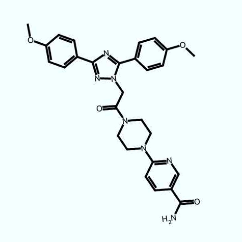 COc1ccc(-c2nc(-c3ccc(OC)cc3)n(CC(=O)N3CCN(c4ccc(C(N)=O)cn4)CC3)n2)cc1